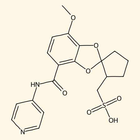 COc1ccc(C(=O)Nc2ccncc2)c2c1OC1(CCCC1CS(=O)(=O)O)O2